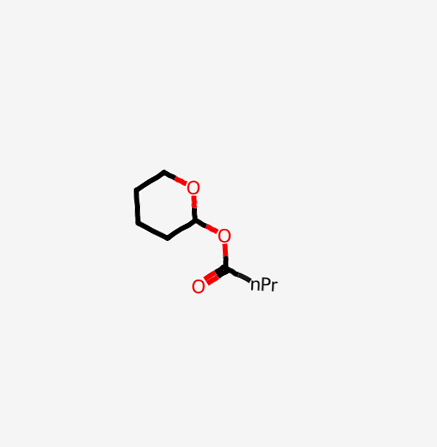 CCCC(=O)OC1CCCCO1